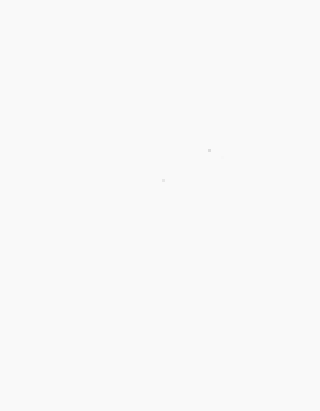 Cc1ccc(CN(O)C(N)=O)cc1